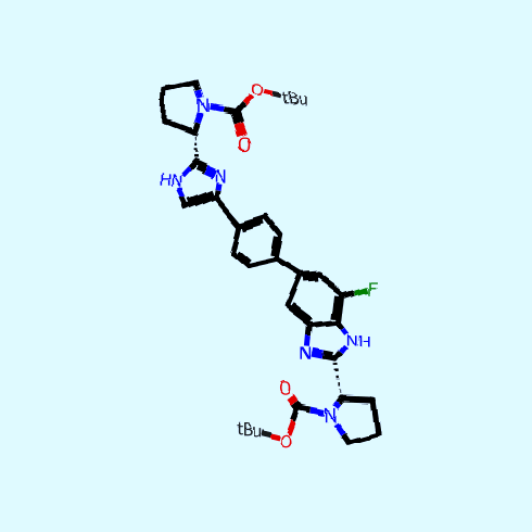 CC(C)(C)OC(=O)N1CCC[C@H]1c1nc(-c2ccc(-c3cc(F)c4[nH]c([C@@H]5CCCN5C(=O)OC(C)(C)C)nc4c3)cc2)c[nH]1